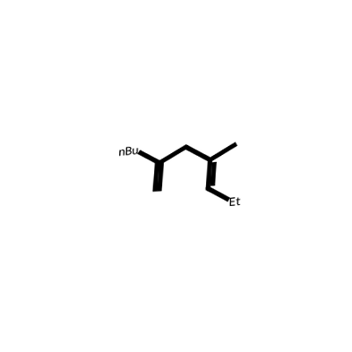 C=C(CCCC)CC(C)=CCC